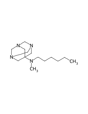 CCCCCCN(C)C12CN3CN(CN(C3)C1)C2